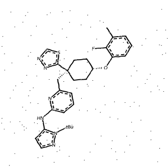 Cc1cccc(O[C@H]2CC[C@](Cc3cccc(Nc4ccnn4C(C)(C)C)n3)(c3nncs3)CC2)c1F